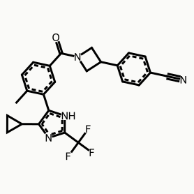 Cc1ccc(C(=O)N2CC(c3ccc(C#N)cc3)C2)cc1-c1[nH]c(C(F)(F)F)nc1C1CC1